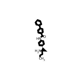 CCC[C@@]1(N)C[C@H]1c1ccc(NC(=O)c2ccc(-c3ccccc3)cc2)cc1